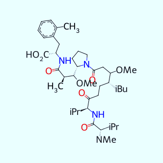 CCC(C)[C@H](CCC(=O)[C@@H](NC(=O)[C@@H](NC)C(C)C)C(C)C)C(CC(=O)N1CCC[C@H]1C(OC)[C@@H](C)C(=O)N[C@@H](Cc1ccccc1C)C(=O)O)OC